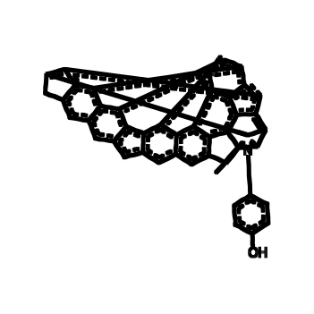 CC1N(c2ccc(O)cc2)CC2C3=c4c5c6c7c(cc8cc9cc%10cc%11cc%12c%13c(c4c4c5c5c7c8c7c9c%10c8c%11c%13c4c8c75)=C(C3)C%12)CC621